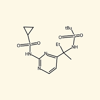 CCC(C)(NS(=O)(=O)C(C)(C)C)c1ccnc(NS(=O)(=O)C2CC2)n1